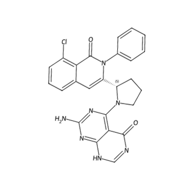 Nc1nc(N2CCC[C@H]2c2cc3cccc(Cl)c3c(=O)n2-c2ccccc2)c2c(=O)nc[nH]c2n1